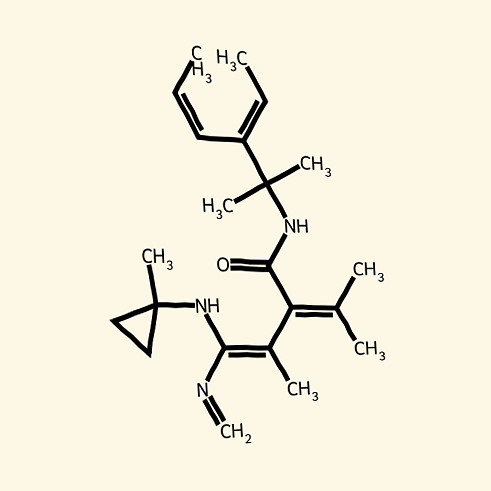 C=N/C(NC1(C)CC1)=C(\C)C(C(=O)NC(C)(C)C(/C=C\C)=C/C)=C(C)C